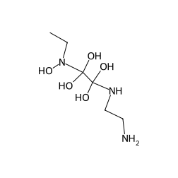 CCN(O)C(O)(O)C(O)(O)NCCN